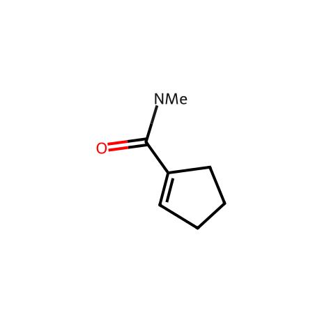 CNC(=O)C1=CCCC1